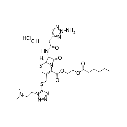 CCCCCC(=O)OCCOC(=O)C1=C(CSc2nnnn2CCN(C)C)CS[C@H]2[C@H](NC(=O)Cc3cnn(N)n3)C(=O)N12.Cl.Cl